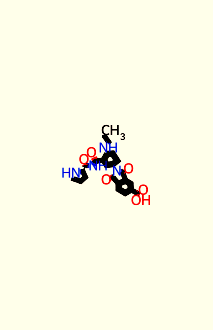 CCCNc1ccc(N2C(=O)c3ccc(C(=O)O)cc3C2=O)cc1C(=O)NC(=O)[C@@H]1CCCN1